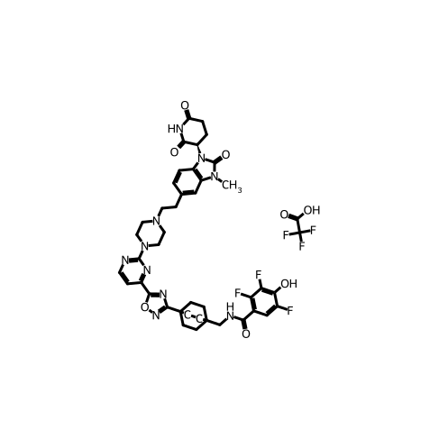 Cn1c(=O)n([C@@H]2CCC(=O)NC2=O)c2ccc(CCN3CCN(c4nccc(-c5nc(C67CCC(CNC(=O)c8cc(F)c(O)c(F)c8F)(CC6)CC7)no5)n4)CC3)cc21.O=C(O)C(F)(F)F